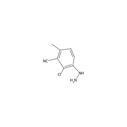 Cc1ccc(NN)c(Cl)c1C#N